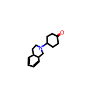 O=C1CCC(N2CCC3C=CC=CC3C2)CC1